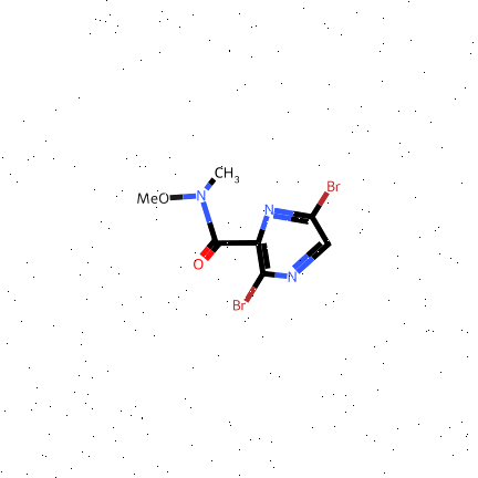 CON(C)C(=O)c1nc(Br)cnc1Br